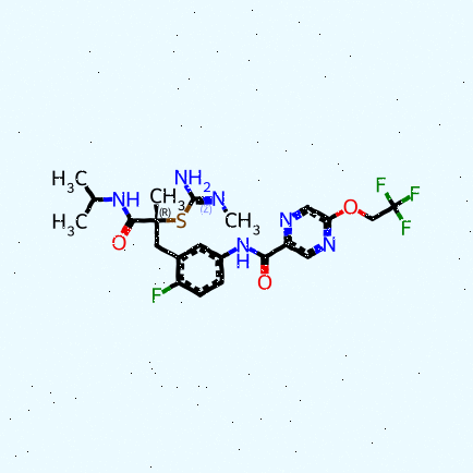 C/N=C(/N)S[C@](C)(Cc1cc(NC(=O)c2cnc(OCC(F)(F)F)cn2)ccc1F)C(=O)NC(C)C